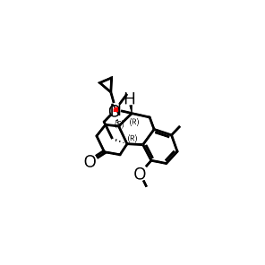 COc1ccc(C)c2c1[C@]13CCN(C4CC4)[C@H](C2)[C@]1(OC)CCC(=O)C3